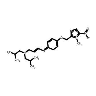 CC(C)CN(CC=CN=C1C=CC(OCc2ncc([N+](=O)[O-])n2C)=CC1)CC(C)C